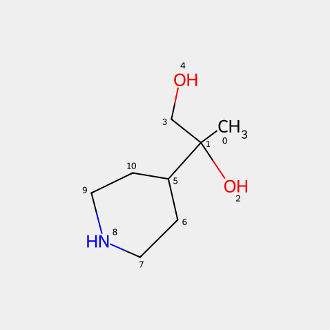 CC(O)(CO)C1CCNCC1